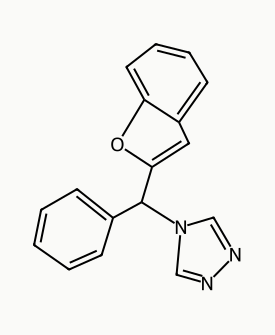 c1ccc(C(c2cc3ccccc3o2)n2cnnc2)cc1